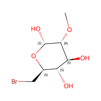 CO[C@@H]1[C@@H](O)[C@H](O)[C@@H](CBr)O[C@@H]1O